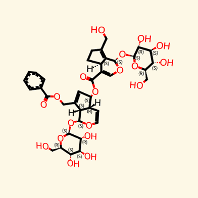 O=C(O[C@@H]1C=C(COC(=O)c2ccccc2)[C@H]2[C@H](O[C@@H]3O[C@H](CO)[C@@H](O)[C@H](O)[C@H]3O)OC=C[C@H]21)C1=CO[C@@H](O[C@@H]2O[C@H](CO)[C@@H](O)[C@H](O)[C@H]2O)C2=C(CO)CC[C@H]12